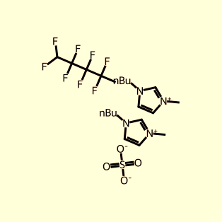 CC(F)(F)C(F)(F)C(F)(F)C(F)F.CCCCn1cc[n+](C)c1.CCCCn1cc[n+](C)c1.O=S(=O)([O-])[O-]